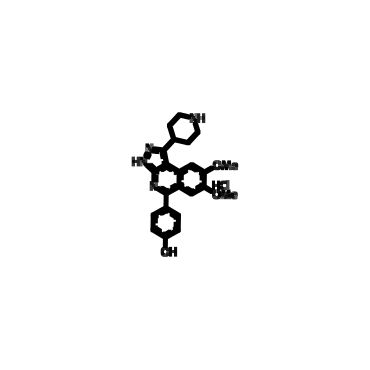 COc1cc2c(-c3ccc(O)cc3)nc3[nH]nc(C4CCNCC4)c3c2cc1OC.Cl